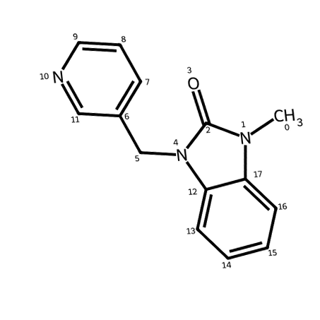 Cn1c(=O)n(Cc2cccnc2)c2ccccc21